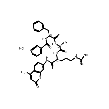 Cc1cc(=O)oc2cc(NC(=O)[C@H](CCCNC(=N)N)NC(=O)[C@@H](NC(=O)[C@H](Cc3ccccc3)NC(=O)c3ccccc3)C(C)C)ccc12.Cl